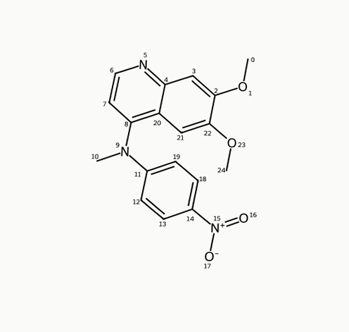 COc1cc2nccc(N(C)c3ccc([N+](=O)[O-])cc3)c2cc1OC